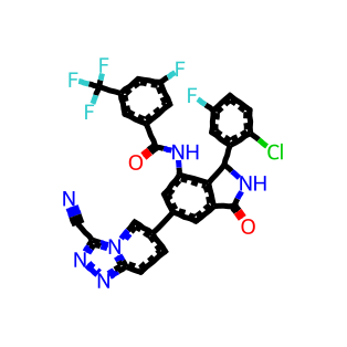 N#Cc1nnc2ccc(-c3cc(NC(=O)c4cc(F)cc(C(F)(F)F)c4)c4c(c3)C(=O)NC4c3cc(F)ccc3Cl)cn12